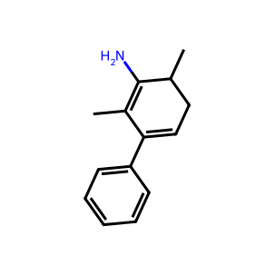 CC1=C(N)C(C)CC=C1c1ccccc1